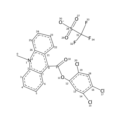 C[n+]1c2ccccc2c(C(=O)Oc2cc(Cl)c(Cl)cc2Cl)c2ccccc21.O=S(=O)([O-])C(F)(F)F